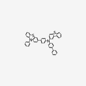 c1ccc(-c2ccc(N(c3ccc(-c4ccc5c(c4)Sc4ccccc4N5c4ccccc4)cc3)c3ccc4sc5ccccc5c4c3)cc2)cc1